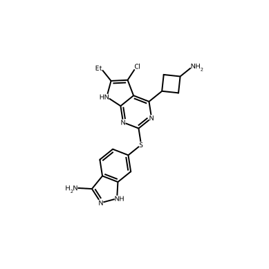 CCc1[nH]c2nc(Sc3ccc4c(N)n[nH]c4c3)nc(C3CC(N)C3)c2c1Cl